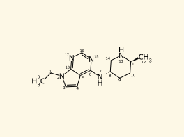 CCn1ccc2c(N[C@H]3CC[C@H](C)NC3)ncnc21